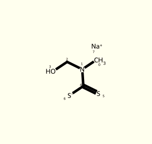 CN(CO)C(=S)[S-].[Na+]